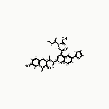 CCC(C)[C@H](NC(=O)c1cc(C(=O)NC(Cc2ccc(O)cc2)C(=O)OC)nc2ccc(-c3cccs3)cc12)C(=O)O